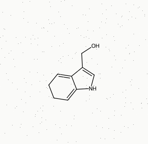 OCc1c[nH]c2c1=CCCC=2